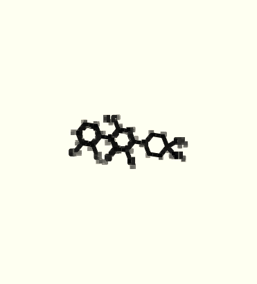 Cc1nc(N2CCC(C)(N)CC2)c(Cl)c(=O)n1-c1cccc(Cl)c1Cl